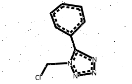 ClCn1nnnc1-c1ccccc1